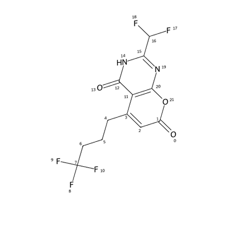 O=c1cc(CCCC(F)(F)F)c2c(=O)[nH]c(C(F)F)nc2o1